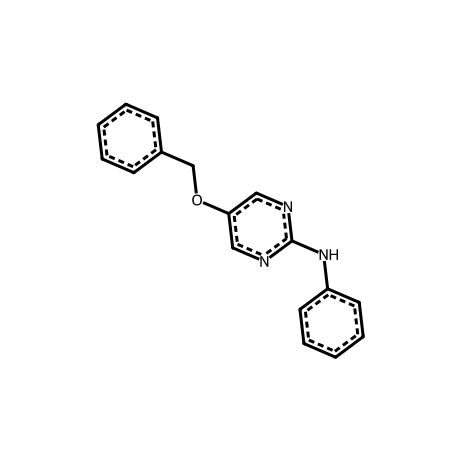 c1ccc(COc2cnc(Nc3ccccc3)nc2)cc1